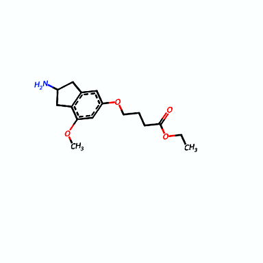 CCOC(=O)CCCOc1cc2c(c(OC)c1)CC(N)C2